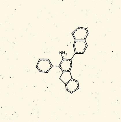 Nc1c(-c2ccc3ccccc3c2)cc2c(c1-c1ccccc1)Cc1ccccc1-2